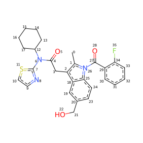 Cc1c(CC(=O)N(c2nccs2)C2CCCCC2)c2cc(CO)ccc2n1C(=O)c1ccccc1F